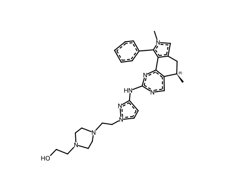 C[C@@H]1Cc2cn(C)c(-c3ccccc3)c2-c2nc(Nc3ccn(CCN4CCN(CCO)CC4)n3)ncc21